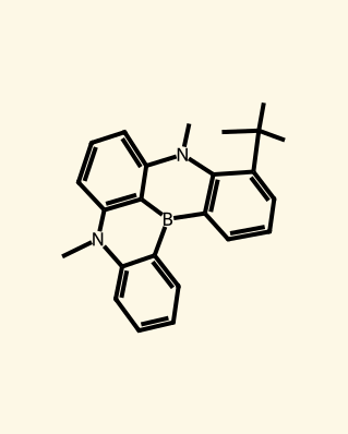 CN1c2ccccc2B2c3cccc(C(C)(C)C)c3N(C)c3cccc1c32